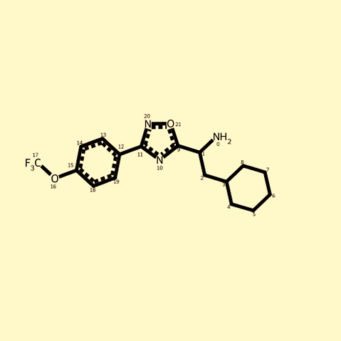 NC(CC1CCCCC1)c1nc(-c2ccc(OC(F)(F)F)cc2)no1